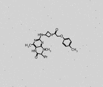 Cc1ccc(OCC(=O)N2CC(Nc3nc(C)c4c(n3)N(C)C(C(C)C)C(=O)N4)C2)cc1